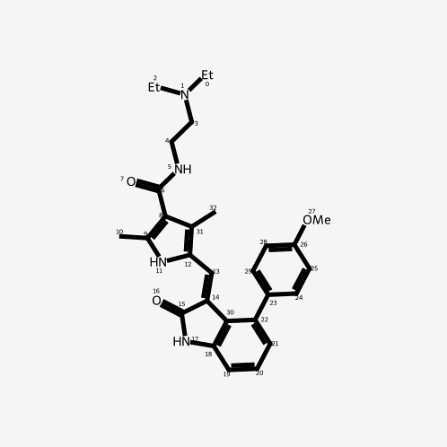 CCN(CC)CCNC(=O)c1c(C)[nH]c(C=C2C(=O)Nc3cccc(-c4ccc(OC)cc4)c32)c1C